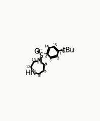 CC(C)(C)c1ccc([S+]([O-])N2CCCNCC2)cc1